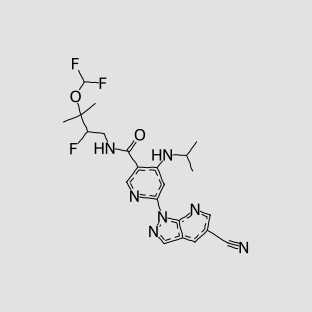 CC(C)Nc1cc(-n2ncc3cc(C#N)cnc32)ncc1C(=O)NCC(F)C(C)(C)OC(F)F